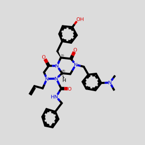 C=CCN1CC(=O)N2[C@@H](CN(Cc3cccc(N(C)C)c3)C(=O)[C@@H]2Cc2ccc(O)cc2)N1C(=O)NCc1ccccc1